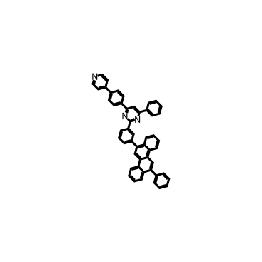 c1ccc(-c2cc(-c3ccc(-c4ccncc4)cc3)nc(-c3cccc(-c4cc5c6ccccc6c(-c6ccccc6)cc5c5ccccc45)c3)n2)cc1